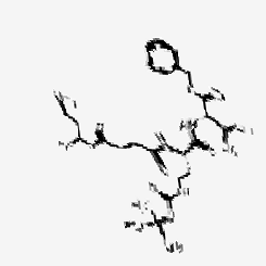 CCCC(C)OC(=O)CCC(=O)N[C@@H](CCNC(=O)OC(C)(C)C)C(=O)N[C@H](C(=O)OCc1ccccc1)C(C)O